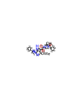 COc1cnc(-n2ccc(-c3ccccc3)n2)c2[nH]cc(C(=O)C(=O)N3CCN(C(=O)c4ccccc4)C(C)C3)c12